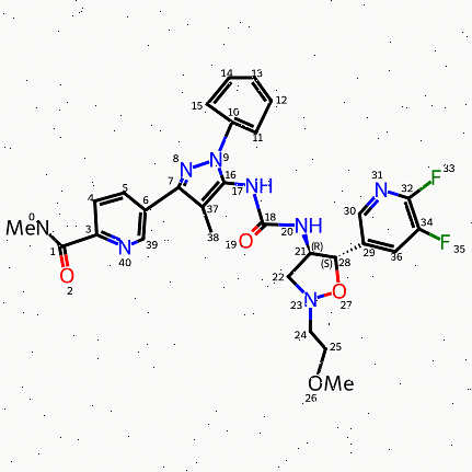 CNC(=O)c1ccc(-c2nn(-c3ccccc3)c(NC(=O)N[C@@H]3CN(CCOC)O[C@H]3c3cnc(F)c(F)c3)c2C)cn1